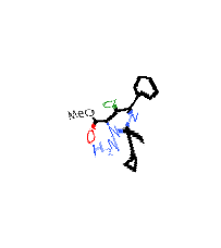 COC(=O)C1=C(Cl)C(c2ccccc2)=NC(C)(C2CC2)N1N